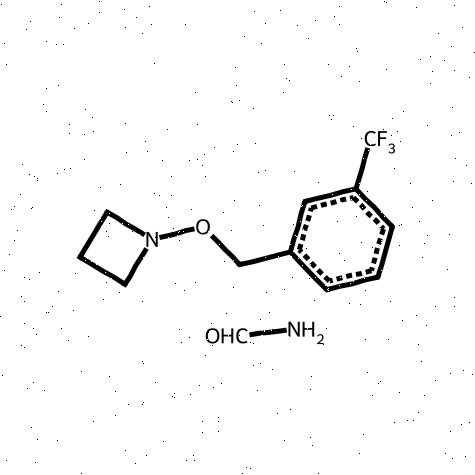 FC(F)(F)c1cccc(CON2CCC2)c1.NC=O